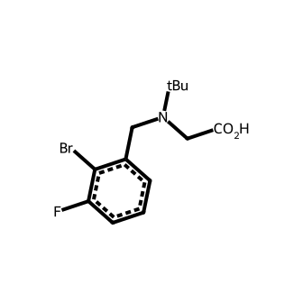 CC(C)(C)N(CC(=O)O)Cc1cccc(F)c1Br